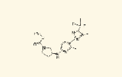 Cc1nc(N[C@H]2CCN(C(=O)OC(C)(C)C)C2)ccc1-c1nc(C(C)(F)F)n(C)n1